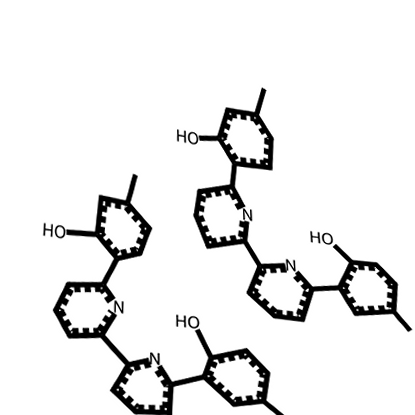 Cc1ccc(-c2cccc(-c3cccc(-c4cc(C)ccc4O)n3)n2)c(O)c1.Cc1ccc(-c2cccc(-c3cccc(-c4cc(C)ccc4O)n3)n2)c(O)c1